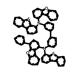 c1ccc(-c2ccc(N(c3cccc(-c4cccc(N(c5cccc6c5sc5ccccc56)c5cccc6oc7ccccc7c56)c4)c3)c3cccc4c3sc3ccccc34)c3c2oc2ccccc23)cc1